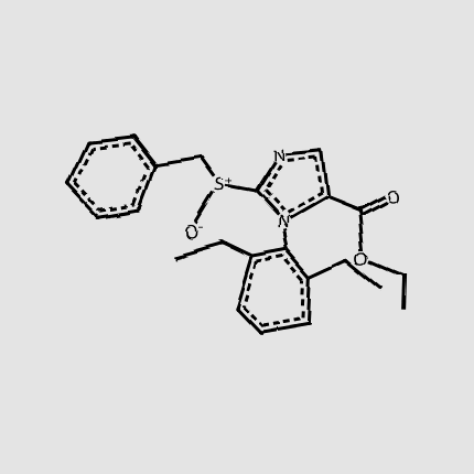 CCOC(=O)c1cnc([S+]([O-])Cc2ccccc2)n1-c1c(CC)cccc1CC